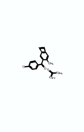 O=C(O)O.O=C(c1ccc(Cl)cc1)c1cc2c(cc1O)C=C2